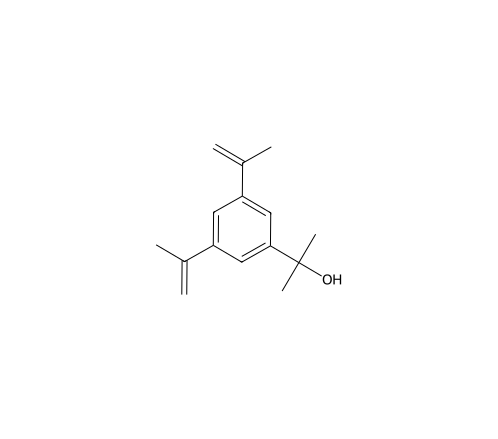 C=C(C)c1cc(C(=C)C)cc(C(C)(C)O)c1